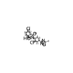 Cc1nc(-c2ccc(NC(=O)c3cc(Cl)ccc3O)c(Cl)c2)no1